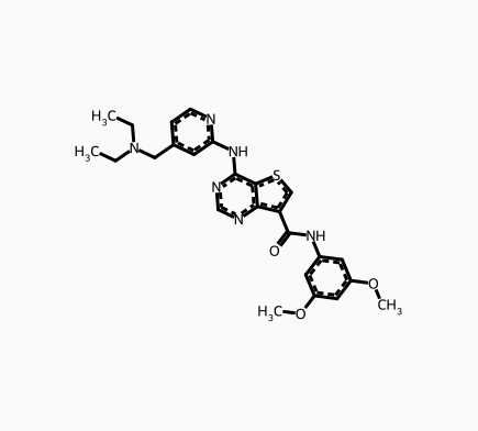 CCN(CC)Cc1ccnc(Nc2ncnc3c(C(=O)Nc4cc(OC)cc(OC)c4)csc23)c1